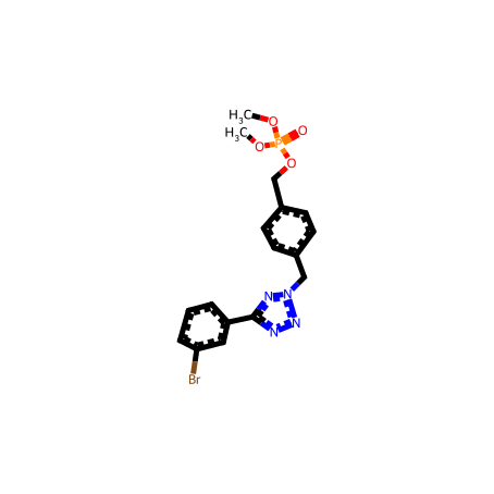 COP(=O)(OC)OCc1ccc(Cn2nnc(-c3cccc(Br)c3)n2)cc1